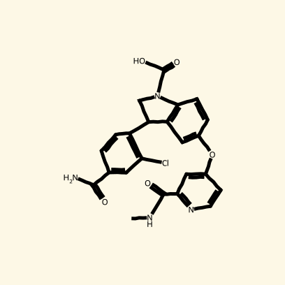 CNC(=O)c1cc(Oc2ccc3c(c2)C(c2ccc(C(N)=O)cc2Cl)CN3C(=O)O)ccn1